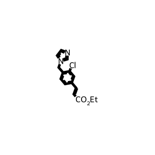 CCOC(=O)C=Cc1ccc(Cn2ccnc2)c(Cl)c1